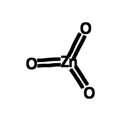 [O]=[Zn](=[O])=[O]